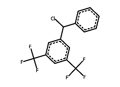 FC(F)(F)c1cc(C(Cl)c2ccccc2)cc(C(F)(F)F)c1